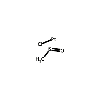 C[SH]=O.[Cl][Pt]